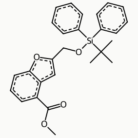 COC(=O)c1cccc2oc(CO[Si](c3ccccc3)(c3ccccc3)C(C)(C)C)cc12